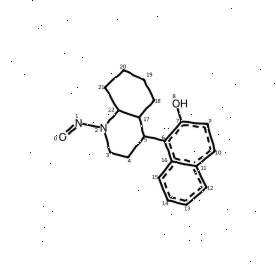 O=NN1CCC(c2c(O)ccc3ccccc23)C2CCCCC21